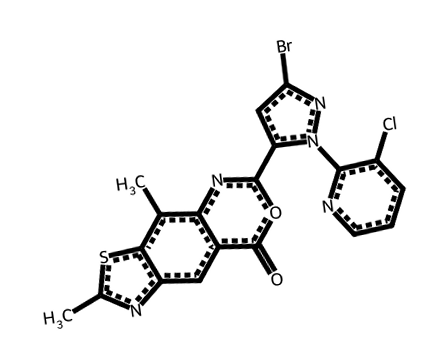 Cc1nc2cc3c(=O)oc(-c4cc(Br)nn4-c4ncccc4Cl)nc3c(C)c2s1